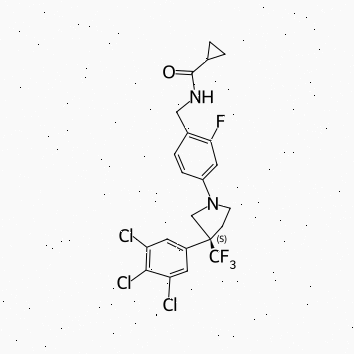 O=C(NCc1ccc(N2CC[C@@](c3cc(Cl)c(Cl)c(Cl)c3)(C(F)(F)F)C2)cc1F)C1CC1